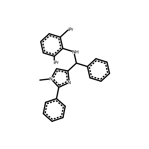 CC(C)c1cccc(C(C)C)c1NC(c1ccccc1)c1cn(C)c(-c2ccccc2)n1